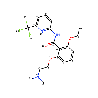 CCOc1cccc(OCCN(C)C)c1C(=O)Nc1cccc(C(F)(F)F)n1